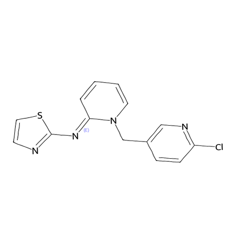 Clc1ccc(Cn2cccc/c2=N\c2nccs2)cn1